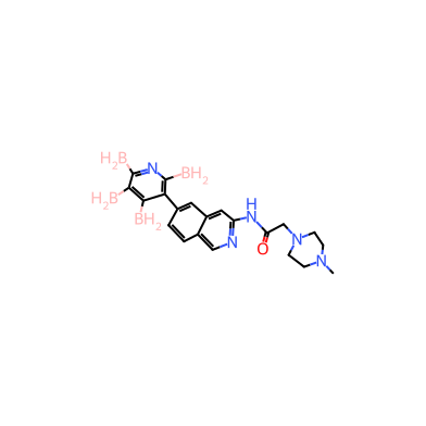 Bc1nc(B)c(-c2ccc3cnc(NC(=O)CN4CCN(C)CC4)cc3c2)c(B)c1B